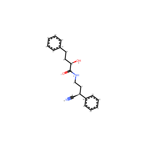 N#C[C@@H](CCNC(=O)[C@H](O)CCc1ccccc1)c1ccccc1